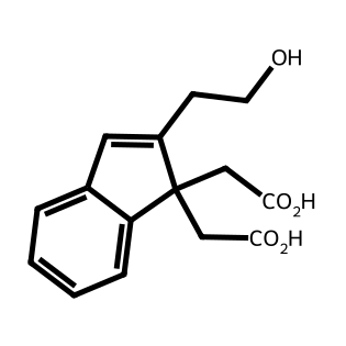 O=C(O)CC1(CC(=O)O)C(CCO)=Cc2ccccc21